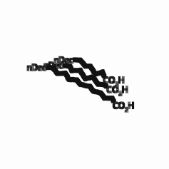 CCCCCCCCCCCCCCCC(=O)O.CCCCCCCCCCCCCCCCCC(=O)O.CCCCCCCCCCCCCCCCCCCCCC(=O)O